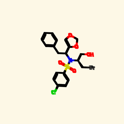 CC(C)C[C@H](CO)N(C(Cc1ccccc1)C1=COCO1)S(=O)(=O)c1ccc(Cl)cc1